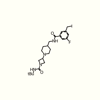 CC(C)(C)NC(=O)N1CC(N2CCC(CNC(=O)c3cc(F)cc(CI)c3)CC2)C1